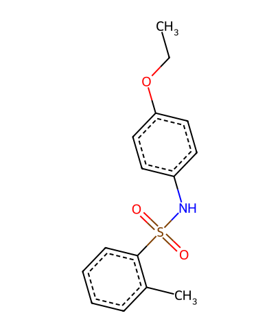 CCOc1ccc(NS(=O)(=O)c2ccccc2C)cc1